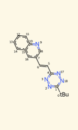 CC(C)(C)c1nnc(/C=C/c2cnc3ccccc3c2)nn1